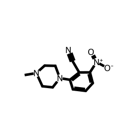 CN1CCN(c2cccc([N+](=O)[O-])c2C#N)CC1